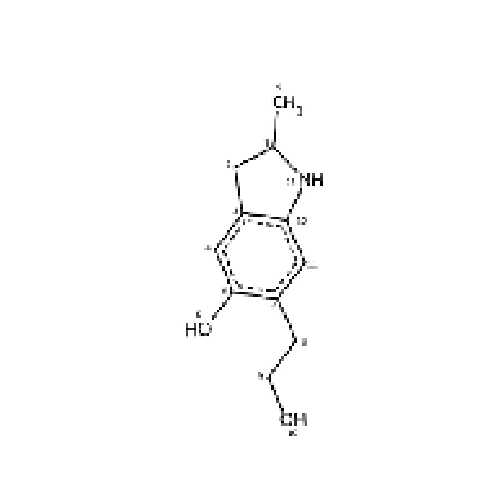 CC1Cc2cc(O)c(CCO)cc2N1